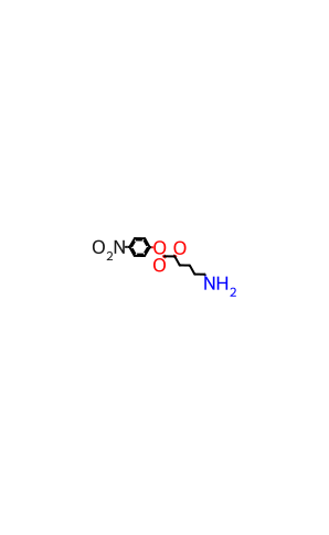 NCCCCC(=O)C(=O)Oc1ccc([N+](=O)[O-])cc1